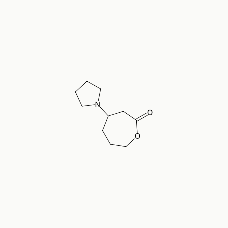 O=C1CC(N2CCCC2)CCCO1